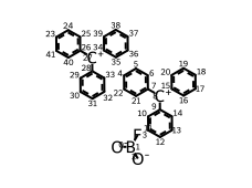 [O-]B([O-])F.c1ccc([C+](c2ccccc2)c2ccccc2)cc1.c1ccc([C+](c2ccccc2)c2ccccc2)cc1